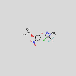 CC(C)COc1cc(Oc2nn(C)c(C(F)(F)F)c2Cl)ccc1[N+](=O)[O-]